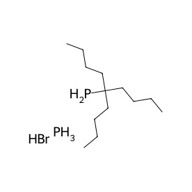 Br.CCCCC(P)(CCCC)CCCC.P